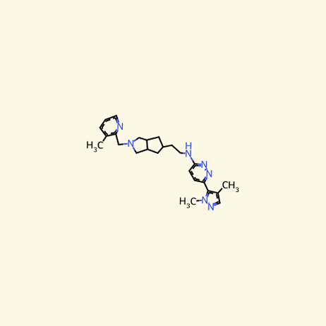 Cc1cccnc1CN1CC2CC(CCNc3ccc(-c4c(C)cnn4C)nn3)CC2C1